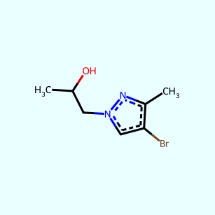 Cc1nn(CC(C)O)cc1Br